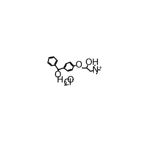 C[N+](C)(C)CC(O)COc1ccc(C(=O)c2ccccc2)cc1.O.[Cl-]